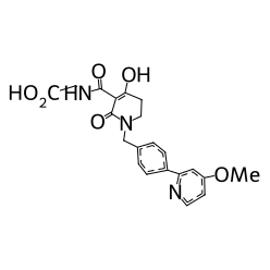 COc1ccnc(-c2ccc(CN3CCC(O)=C(C(=O)NCC(=O)O)C3=O)cc2)c1